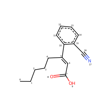 CCCCCC(=CC(=O)O)c1ccccc1C#N